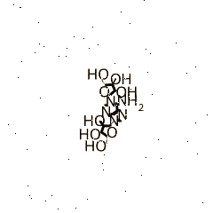 NC1c2ncn([C@@H]3O[C@H](CO)C(O)C3O)c2N=CN1C1O[C@H](CO)[C@@H](O)[C@H]1O